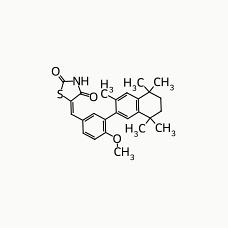 COc1ccc(C=C2SC(=O)NC2=O)cc1-c1cc2c(cc1C)C(C)(C)CCC2(C)C